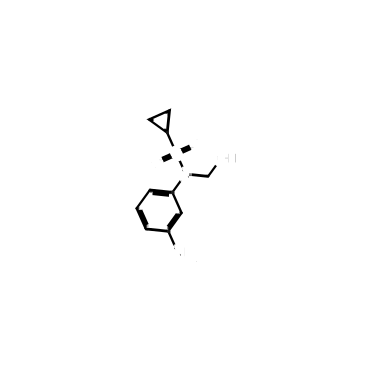 Nc1cccc(N(CO)S(=O)(=O)C2CC2)c1